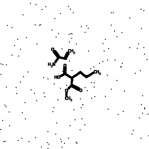 C=CC(N)=O.CCCC(C(=O)O)C(=O)OC